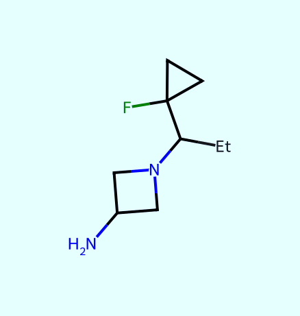 CCC(N1CC(N)C1)C1(F)CC1